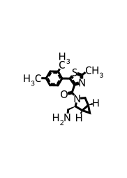 Cc1ccc(-c2sc(C)nc2C(=O)N2C[C@@H]3C[C@@H]3[C@H]2CN)c(C)c1